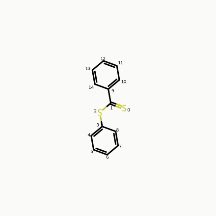 S=C(Sc1ccccc1)c1ccccc1